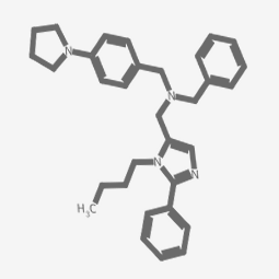 CCCCn1c(CN(Cc2ccccc2)Cc2ccc(N3CCCC3)cc2)cnc1-c1ccccc1